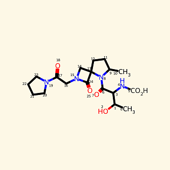 CC(O)C(NC(=O)O)C(=O)N1C(C)CCC12CN(CC(=O)N1CCCC1)C2=O